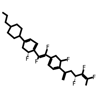 C=C(C[C@@H](F)/C(F)=C(\C)F)C1=CC=C(/C(F)=C(\F)C2=CC=C(C3CCC(CCC)CC3)C[C@H]2F)CC1F